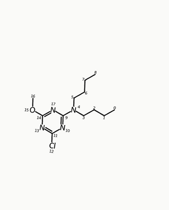 CCCCN(CCCC)c1nc(Cl)nc(OC)n1